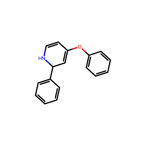 C1=CC(Oc2ccccc2)=C[C](c2ccccc2)N1